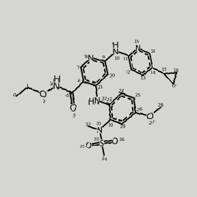 CCONC(=O)c1cnc(Nc2ccc(C3CC3)cn2)cc1Nc1ccc(OC)cc1N(C)S(C)(=O)=O